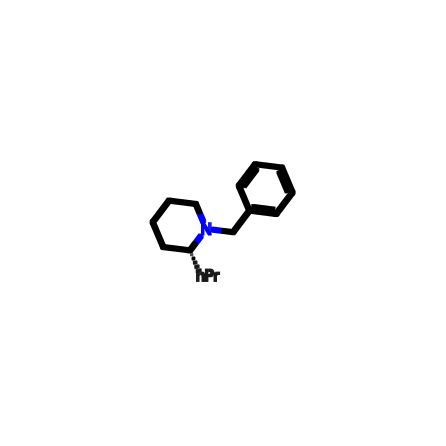 CCC[C@@H]1CCCCN1Cc1ccccc1